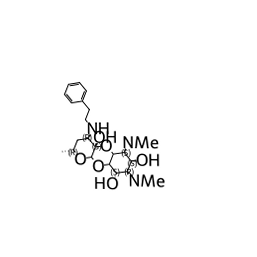 CN[C@@H]1[C@H](O)[C@H](NC)C2O[C@]3(O)C(OC2[C@H]1O)O[C@H](C)C[C@H]3NCCc1ccccc1